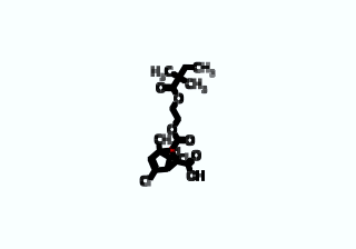 CCC(C)(C)C(=O)OCCOC(=O)C1C(C(=O)O)C2C(Cl)=CC1(C)C2(Cl)Cl